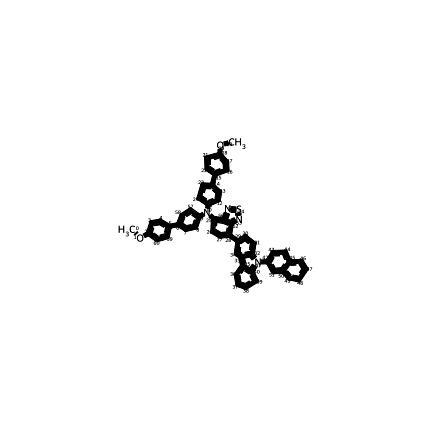 COc1ccc(-c2ccc(N(c3ccc(-c4ccc(OC)cc4)cc3)c3ccc(-c4ccc5c(c4)c4ccccc4n5-c4ccc5ccccc5c4)c4nsnc34)cc2)cc1